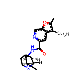 Cc1oc2cnc(C(=O)N[C@@H]3C4CCN(CC4)[C@H]3C)cc2c1C(=O)O